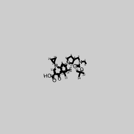 CCN(CC1CCN(c2cc3c(c(C)c2F)c(=O)c(C(=O)O)cn3C2CC2)C1)C(=O)OC(C)(C)C